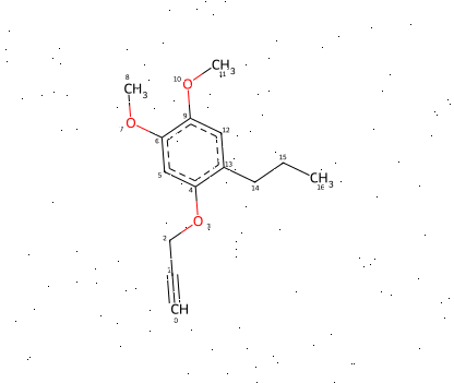 C#CCOc1cc(OC)c(OC)cc1CCC